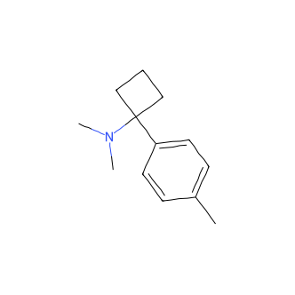 Cc1ccc(C2(N(C)C)CCC2)cc1